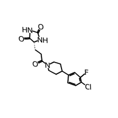 O=C1NC(=O)[C@@H](CCC(=O)N2CCC(c3ccc(Cl)c(F)c3)CC2)N1